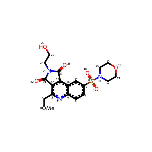 COCc1nc2ccc(S(=O)(=O)N3CCOCC3)cc2c2c1C(=O)N(CCO)C2=O